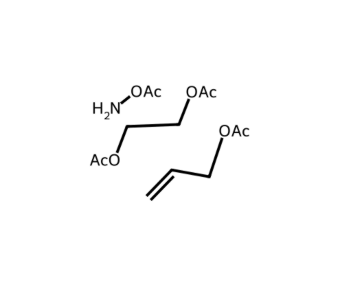 C=CCOC(C)=O.CC(=O)OCCOC(C)=O.CC(=O)ON